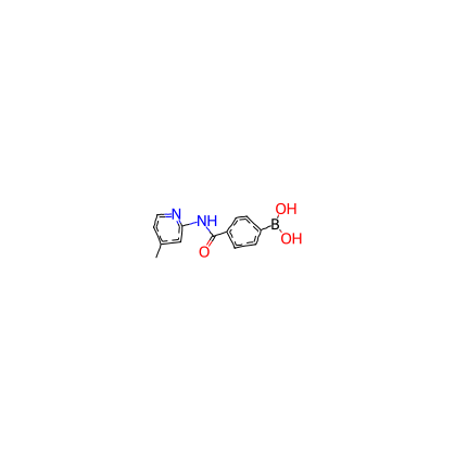 Cc1ccnc(NC(=O)c2ccc(B(O)O)cc2)c1